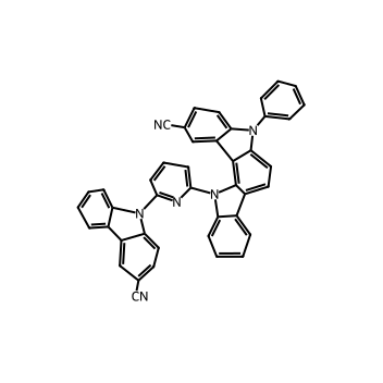 N#Cc1ccc2c(c1)c1ccccc1n2-c1cccc(-n2c3ccccc3c3ccc4c(c5cc(C#N)ccc5n4-c4ccccc4)c32)n1